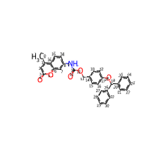 Cc1cc(=O)oc2cc(NC(=O)OCc3ccc(OC(c4ccccc4)c4ccccc4)cc3)ccc12